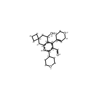 O=Cc1c(C2CCOCC2)nc2c(c1C1=CCOCC1)C(O)CC1(CCC1)C2